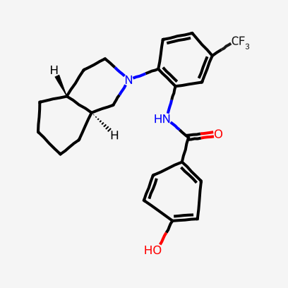 O=C(Nc1cc(C(F)(F)F)ccc1N1CC[C@H]2CCCC[C@@H]2C1)c1ccc(O)cc1